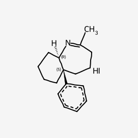 CC1=N[C@@H]2CCCC[C@@]2(c2ccccc2)CCC1.I